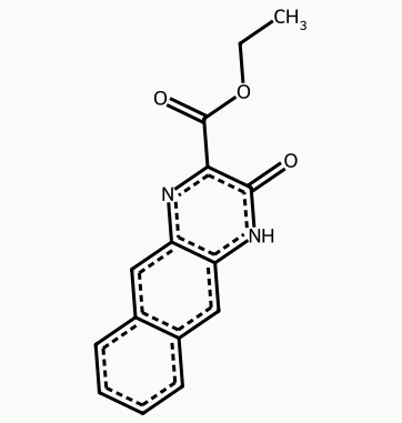 CCOC(=O)c1nc2cc3ccccc3cc2[nH]c1=O